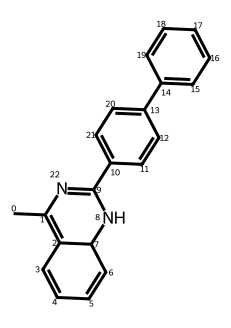 CC1=C2C=CC=CC2NC(c2ccc(-c3ccccc3)cc2)=N1